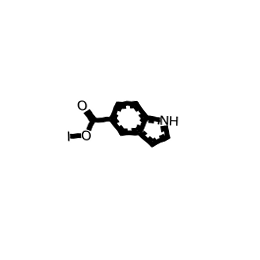 O=C(OI)c1ccc2[nH]ccc2c1